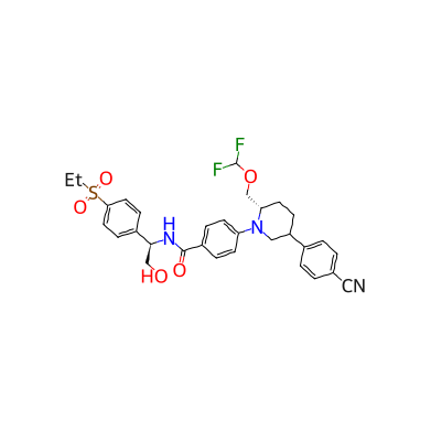 CCS(=O)(=O)c1ccc([C@H](CO)NC(=O)c2ccc(N3CC(c4ccc(C#N)cc4)CC[C@H]3COC(F)F)cc2)cc1